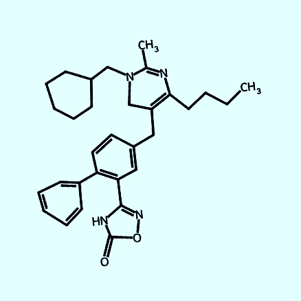 CCCCC1=C(Cc2ccc(-c3ccccc3)c(-c3noc(=O)[nH]3)c2)CN(CC2CCCCC2)C(C)=N1